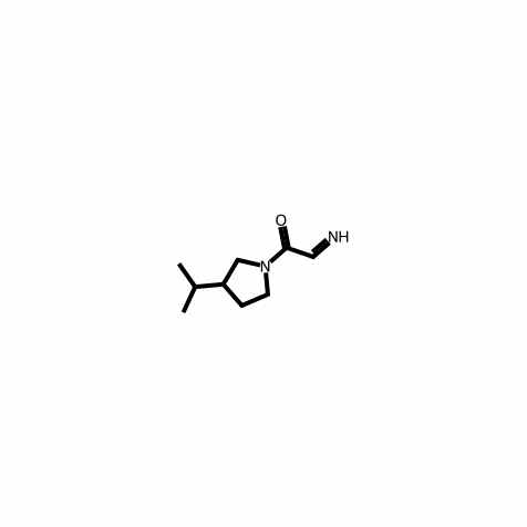 CC(C)C1CCN(C(=O)C=N)C1